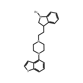 CC(=O)N1CC(CCN2CCN(c3cccc4sccc34)CC2)c2ccccc21